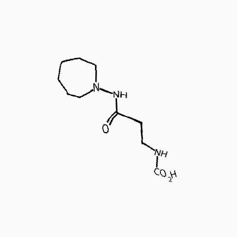 O=C(O)NCCC(=O)NN1CCCCCC1